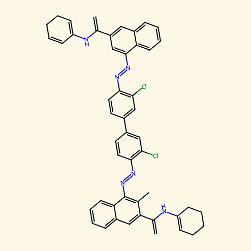 C=C(NC1=CCCC=C1)c1cc(N=Nc2ccc(-c3ccc(N=Nc4c(C)c(C(=C)NC5=CCCCC5)cc5ccccc45)c(Cl)c3)cc2Cl)c2ccccc2c1